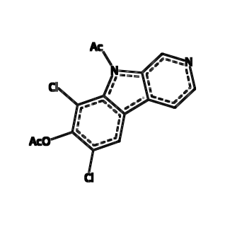 CC(=O)Oc1c(Cl)cc2c3ccncc3n(C(C)=O)c2c1Cl